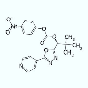 CC(C)(C)[C@H](OC(=O)Oc1ccc([N+](=O)[O-])cc1)c1nnc(-c2ccncc2)o1